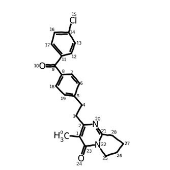 Cc1c(CCc2ccc(C(=O)c3ccc(Cl)cc3)cc2)nc2n(c1=O)CCCC2